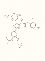 CC(C)(C)C[C@H](OC(N)=O)c1oc(-c2ccc(OC(F)F)c(OCC3CC3)c2)nc1C(=O)NCc1ccc(Cl)cc1Cl